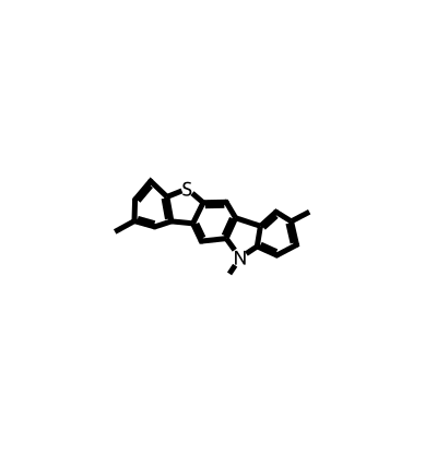 Cc1ccc2sc3cc4c5cc(C)ccc5n(C)c4cc3c2c1